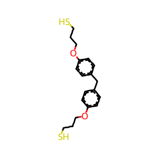 SCCCOc1ccc(Cc2ccc(OCCCS)cc2)cc1